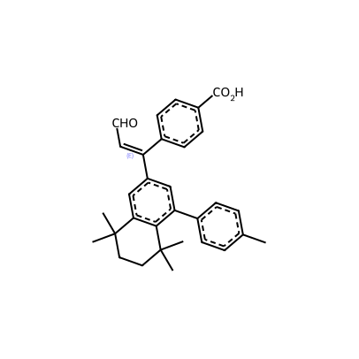 Cc1ccc(-c2cc(/C(=C/C=O)c3ccc(C(=O)O)cc3)cc3c2C(C)(C)CCC3(C)C)cc1